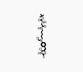 CC(C)(C)OC(=O)NCC(=O)NCCCCCN(C=O)c1ccc(C=C2SC(=S)NC2=O)cc1